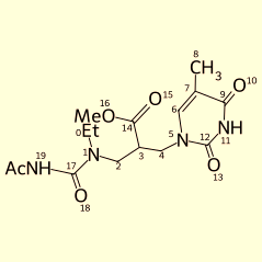 CCN(CC(Cn1cc(C)c(=O)[nH]c1=O)C(=O)OC)C(=O)NC(C)=O